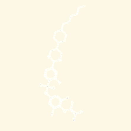 CCCCCCC1CCC(C2COC(c3ccc(C(F)(F)Oc4cc(F)c(OC(F)=C(F)F)c(F)c4)c(F)c3)OC2)CC1